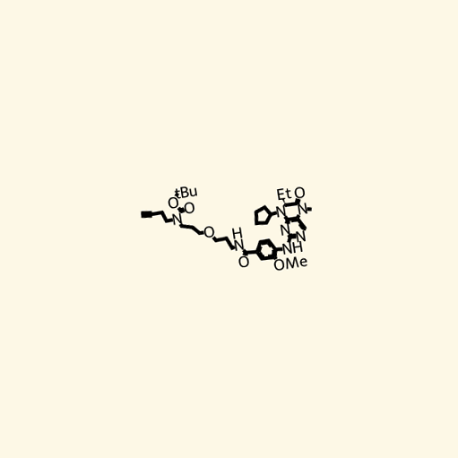 C#CCCN(CCCOCCCNC(=O)c1ccc(Nc2ncc3c(n2)N(C2CCCC2)[C@H](CC)C(=O)N3C)c(OC)c1)C(=O)OC(C)(C)C